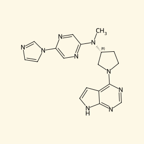 CN(c1cnc(-n2ccnc2)cn1)[C@@H]1CCN(c2ncnc3[nH]ccc23)C1